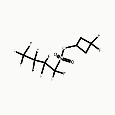 O=S(=O)(OC1CC(F)(F)C1)C(F)(F)C(F)(F)C(F)(F)C(F)(F)F